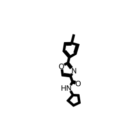 Cc1ccc(-c2nc(C(=O)NC3CCCC3)co2)cc1